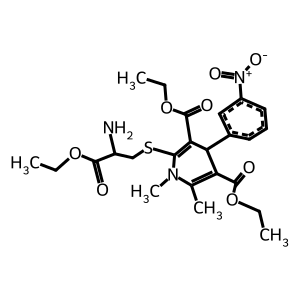 CCOC(=O)C1=C(C)N(C)C(SCC(N)C(=O)OCC)=C(C(=O)OCC)C1c1cccc([N+](=O)[O-])c1